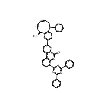 C=C1/C=C\C=C/CN(c2ccccc2)c2ccc(-c3ccc4c(c3)c(=O)oc3c(-c5nc(-c6ccccc6)nc(-c6ccccc6)n5)cccc34)cc21